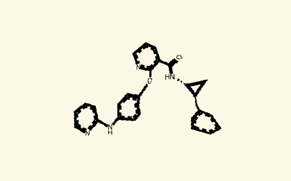 O=C(N[C@@H]1C[C@H]1c1ccccc1)c1cccnc1Oc1ccc(Nc2ccccn2)cc1